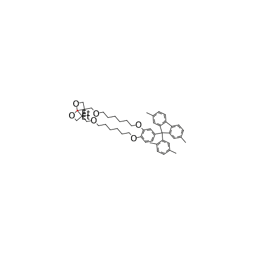 CCC1(COCCCCCCOc2ccc(C3(c4cc(C)ccc4C)c4cc(C)ccc4-c4ccc(C)cc43)cc2OCCCCCCOCC2(CC)COC2)COC1